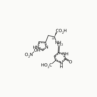 N[C@@H](Cc1c[nH]cn1)C(=O)O.O=C(O)c1cc(=O)[nH]c(=O)[nH]1.O=[N+]([O-])O